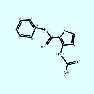 O=C(O)Nc1ccsc1C(=O)Nc1ccccc1